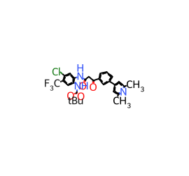 Cc1cc(-c2cccc(C(=O)CC(=O)Nc3cc(Cl)c(C(F)(F)F)cc3NC(=O)OC(C)(C)C)c2)cc(C)n1